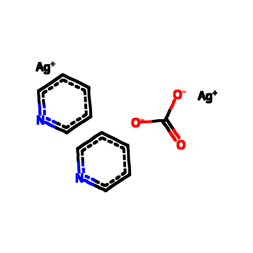 O=C([O-])[O-].[Ag+].[Ag+].c1ccncc1.c1ccncc1